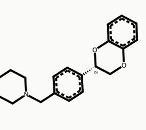 [CH]1CCN(Cc2ccc([C@H]3COc4ccccc4O3)cc2)CC1